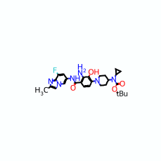 Cc1cn2cc(NC(=O)c3ccc(N4CCC(N(C(=O)OC(C)(C)C)C5CC5)CC4)c(O)c3N)cc(F)c2n1